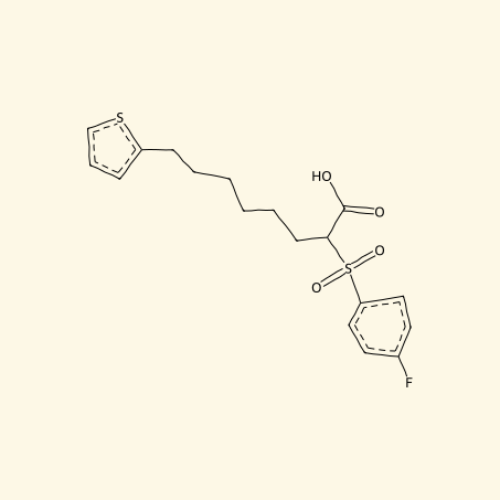 O=C(O)C(CCCCCCc1cccs1)S(=O)(=O)c1ccc(F)cc1